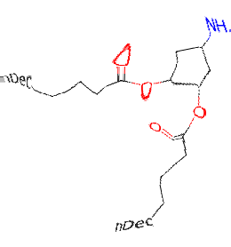 CCCCCCCCCCCCCC(=O)OC1CC(N)CC1OC(=O)CCCCCCCCCCCCC